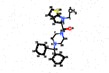 CCn1c(C(=O)N2CCN(C(c3ccccc3)c3ccccc3)CC2)cc2ccsc21